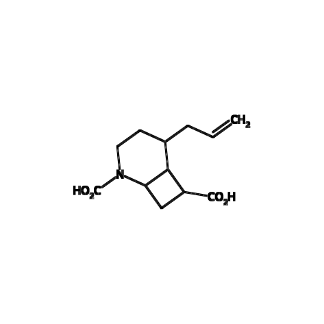 C=CCC1CCN(C(=O)O)C2CC(C(=O)O)C12